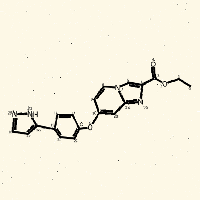 CCOC(=O)c1cn2ccc(Oc3ccc(-c4ccn[nH]4)cc3)cc2n1